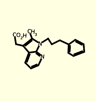 Cc1c(CC(=O)O)c2cccnc2n1CCCc1ccccc1